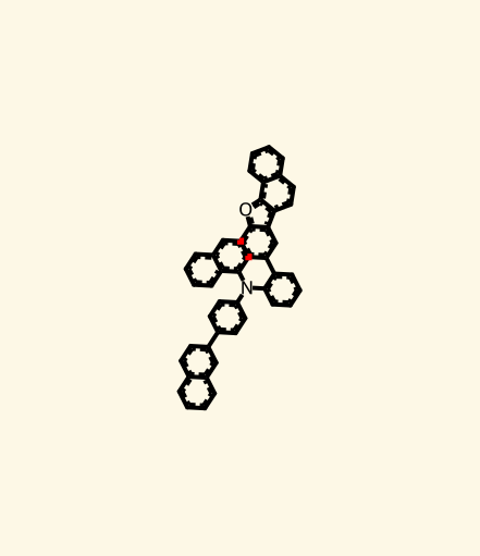 c1ccc(N(c2ccc(-c3ccc4ccccc4c3)cc2)c2cccc3ccccc23)c(-c2ccc3oc4c5ccccc5ccc4c3c2)c1